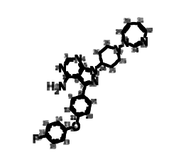 Nc1ncnc2c1c(-c1ccc(Oc3ccc(F)cc3)cc1)nn2C1CCN(N2C=CC=CN=C2)CC1